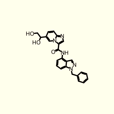 O=C(Nc1cccc2c1cnn2Cc1ccccc1)c1cnc2ccc(C(O)CO)cn12